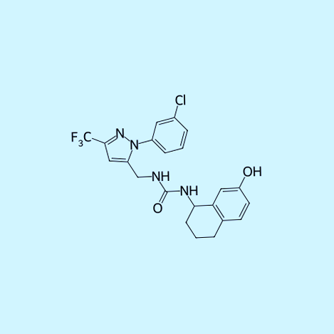 O=C(NCc1cc(C(F)(F)F)nn1-c1cccc(Cl)c1)NC1CCCc2ccc(O)cc21